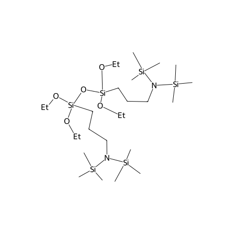 CCO[Si](CCCN([Si](C)(C)C)[Si](C)(C)C)(OCC)O[Si](CCCN([Si](C)(C)C)[Si](C)(C)C)(OCC)OCC